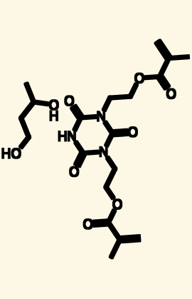 C=C(C)C(=O)OCCn1c(=O)[nH]c(=O)n(CCOC(=O)C(=C)C)c1=O.CC(O)CCO